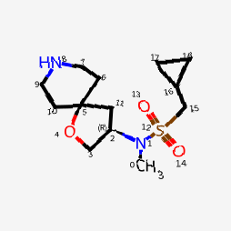 CN([C@H]1COC2(CCNCC2)C1)S(=O)(=O)CC1CC1